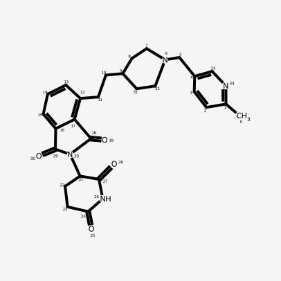 Cc1ccc(CN2CCC(CCc3cccc4c3C(=O)N(C3CCC(=O)NC3=O)C4=O)CC2)cn1